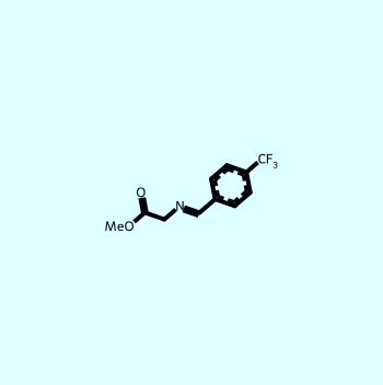 COC(=O)CN=Cc1ccc(C(F)(F)F)cc1